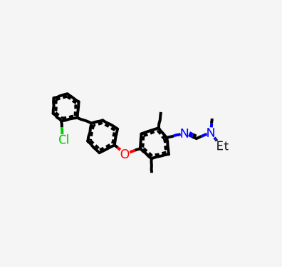 CCN(C)C=Nc1cc(C)c(Oc2ccc(-c3ccccc3Cl)cc2)cc1C